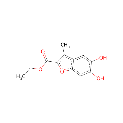 CCOC(=O)c1oc2cc(O)c(O)cc2c1C